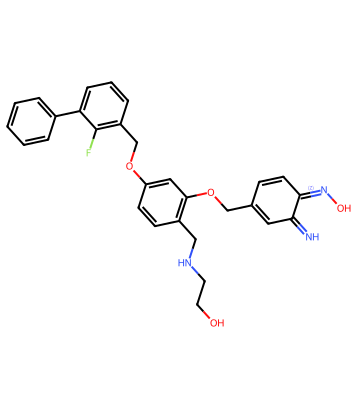 N=C1C=C(COc2cc(OCc3cccc(-c4ccccc4)c3F)ccc2CNCCO)C=C/C1=N/O